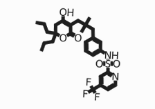 CCCC1(CCC)CC(O)=C(CC(C)(C)Cc2cccc(NS(=O)(=O)c3cc(C(F)(F)F)ccn3)c2)C(=O)O1